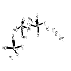 N.O=P(O)(O)O.O=P([O-])([O-])[O-].O=P([O-])([O-])[O-].[K+].[K+].[K+].[K+].[K+].[K+]